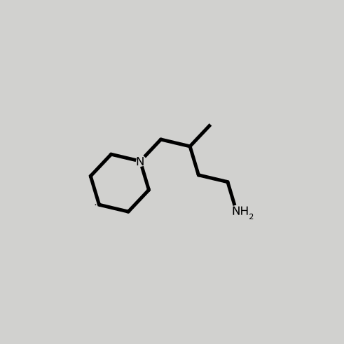 CC(CCN)CN1CC[CH]CC1